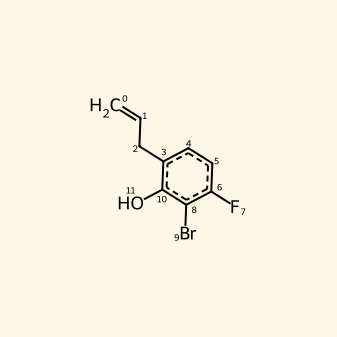 C=CCc1ccc(F)c(Br)c1O